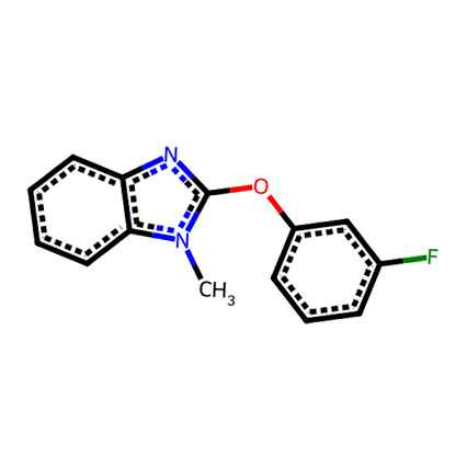 Cn1c(Oc2cccc(F)c2)nc2ccccc21